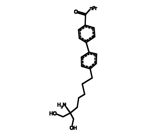 CCCC(=O)c1ccc(-c2ccc(CCCCCC(N)(CO)CO)cc2)cc1